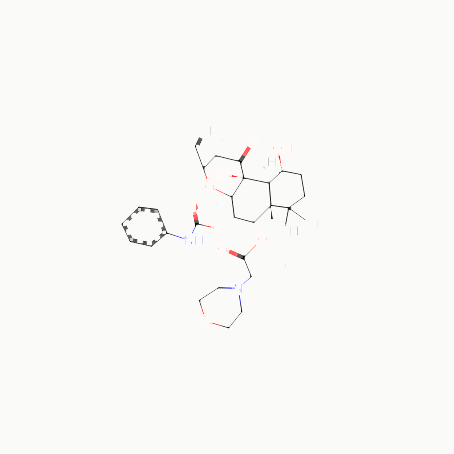 C=C[C@@]1(C)CC(=O)[C@]2(O)[C@@]3(C)[C@@H](O)CCC(C)(C)[C@@H]3[C@H](OC(=O)CN3CCOCC3)[C@H](OC(=O)Nc3ccccc3)[C@@]2(C)O1.Cl